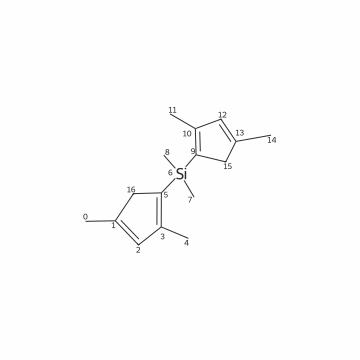 CC1=CC(C)=C([Si](C)(C)C2=C(C)C=C(C)C2)C1